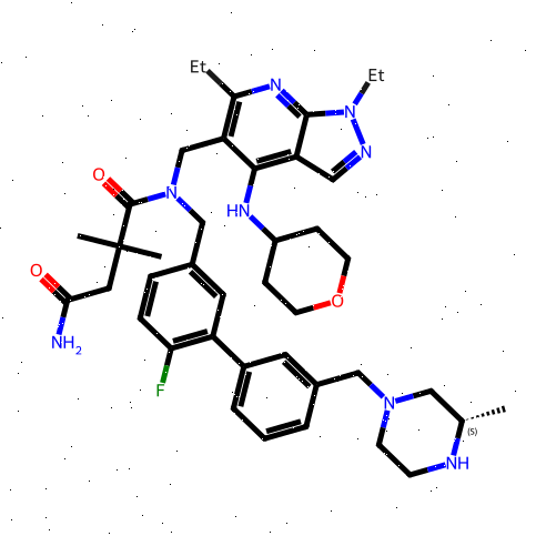 CCc1nc2c(cnn2CC)c(NC2CCOCC2)c1CN(Cc1ccc(F)c(-c2cccc(CN3CCN[C@@H](C)C3)c2)c1)C(=O)C(C)(C)CC(N)=O